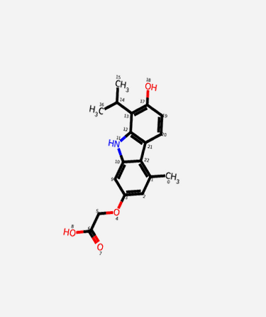 Cc1cc(OCC(=O)O)cc2[nH]c3c(C(C)C)c(O)ccc3c12